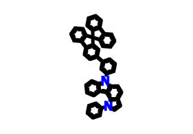 c1ccc(-n2ccc3ccc4c(c5ccccc5n4-c4cccc(-c5ccc6c(c5)C5(c7ccccc7-c7ccccc75)c5ccccc5-6)c4)c32)cc1